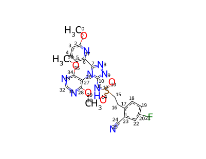 COc1cccc(-c2nnc(NS(=O)(=O)CCc3ccc(F)cc3C#N)n2-c2c(OC)ncnc2OC)n1